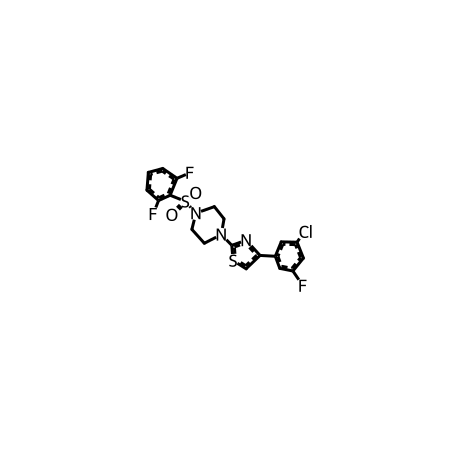 O=S(=O)(c1c(F)cccc1F)N1CCN(c2nc(-c3cc(F)cc(Cl)c3)cs2)CC1